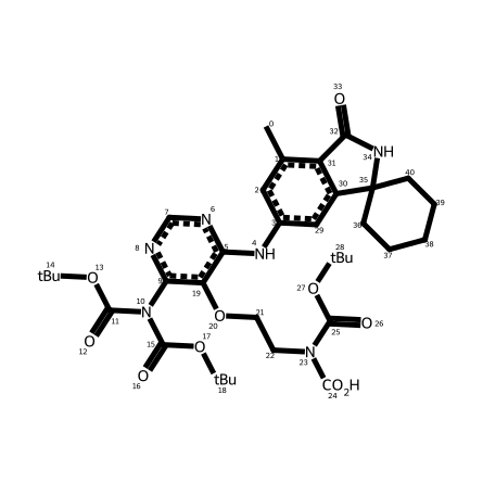 Cc1cc(Nc2ncnc(N(C(=O)OC(C)(C)C)C(=O)OC(C)(C)C)c2OCCN(C(=O)O)C(=O)OC(C)(C)C)cc2c1C(=O)NC21CCCCC1